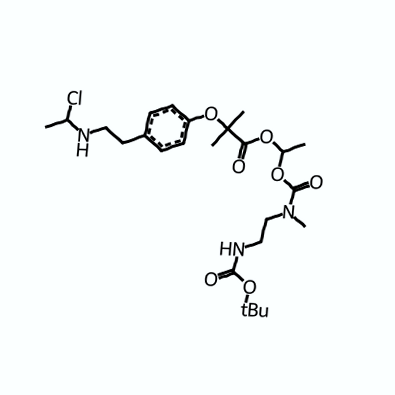 CC(Cl)NCCc1ccc(OC(C)(C)C(=O)OC(C)OC(=O)N(C)CCNC(=O)OC(C)(C)C)cc1